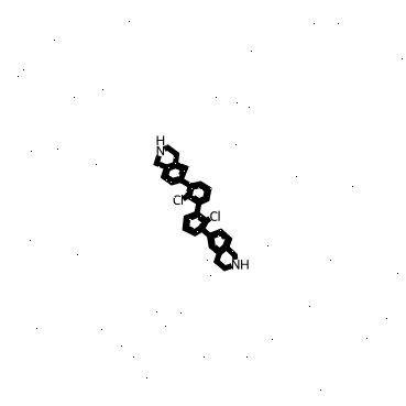 Clc1c(-c2ccc3c(c2)CCNC3)cccc1-c1cccc(-c2ccc3c(c2)CCNC3)c1Cl